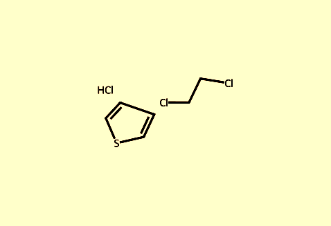 Cl.ClCCCl.c1ccsc1